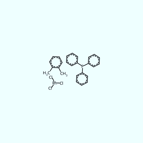 Cc1ccccc1C.[Cl][Rh]([Cl])[Cl].c1ccc(P(c2ccccc2)c2ccccc2)cc1